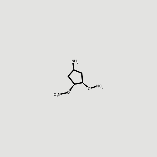 N[C@@H]1C[C@H](O[N+](=O)[O-])[C@H](O[N+](=O)[O-])C1